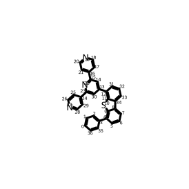 c1ccc(-c2cccc3c2sc2c(-c4cc(-c5ccncc5)nc(-c5ccncc5)c4)cccc23)cc1